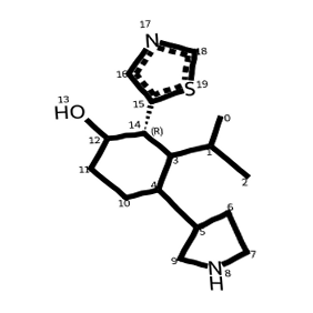 CC(C)C1C(C2[CH]CNC2)CCC(O)[C@@H]1c1cncs1